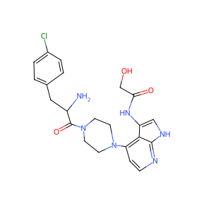 NC(Cc1ccc(Cl)cc1)C(=O)N1CCN(c2ccnc3[nH]cc(NC(=O)CO)c23)CC1